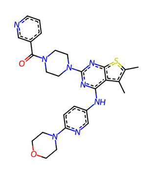 Cc1sc2nc(N3CCN(C(=O)c4cccnc4)CC3)nc(Nc3ccc(N4CCOCC4)nc3)c2c1C